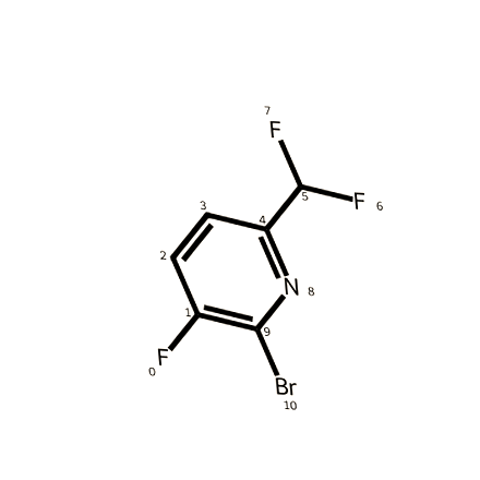 Fc1ccc(C(F)F)nc1Br